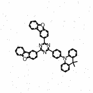 CC1(C)c2ccccc2N(c2ccc(-c3nc(-c4ccc5oc6ccccc6c5c4)nc(-c4ccc5oc6ccccc6c5c4)n3)cc2)c2ccccc21